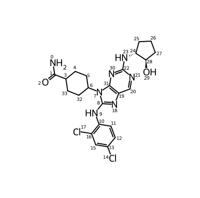 NC(=O)C1CCC(n2c(Nc3ccc(Cl)cc3Cl)nc3cnc(N[C@@H]4CCC[C@H]4O)nc32)CC1